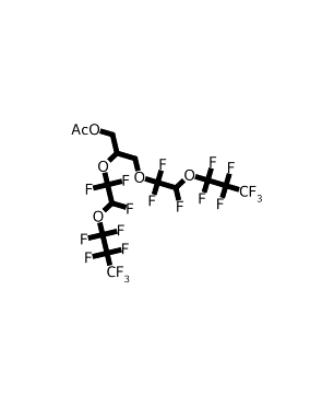 CC(=O)OCC(COC(F)(F)C(F)OC(F)(F)C(F)(F)C(F)(F)F)OC(F)(F)C(F)OC(F)(F)C(F)(F)C(F)(F)F